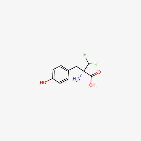 N[C@@](Cc1ccc(O)cc1)(C(=O)O)C(F)F